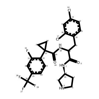 O=C(N[C@H]1CCNC1)C(Cc1ccc(Cl)cc1Cl)NC(=O)C1(c2ccc(C(F)(F)F)cc2F)CC1